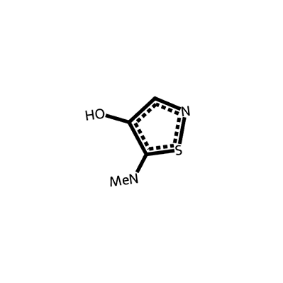 CNc1sncc1O